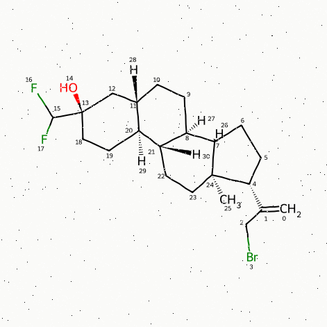 C=C(CBr)[C@H]1CC[C@H]2[C@@H]3CC[C@H]4C[C@@](O)(C(F)F)CC[C@@H]4[C@H]3CC[C@]12C